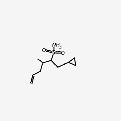 C=CCC(C)C(CC1CC1)S(N)(=O)=O